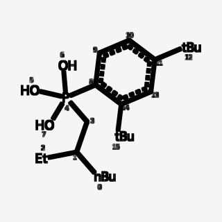 CCCCC(CC)CP(O)(O)(O)c1ccc(C(C)(C)C)cc1C(C)(C)C